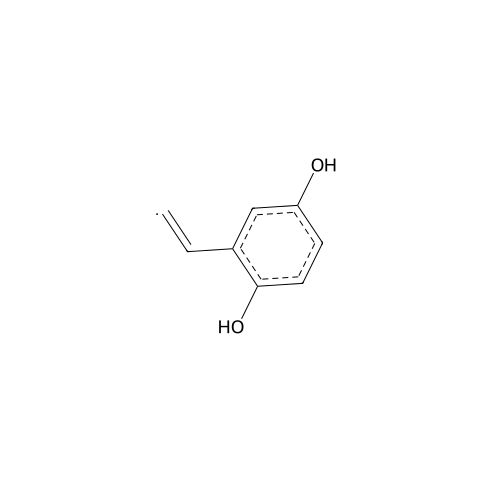 [CH]=Cc1cc(O)ccc1O